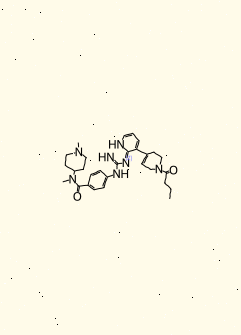 CCCC(=O)N1CC=C(c2ccc[nH]/c2=N\C(=N)Nc2ccc(C(=O)N(C)C3CCN(C)CC3)cc2)CC1